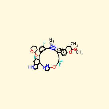 COC(=O)[C@@H](C)Cc1cccc(C2(C)CCC(F)(F)COc3ccn(n3)Cc3c(c(F)cc4[nH]ccc34)C(OC3CCCCO3)c3ccc(F)c(c3)-c3nc2nn3C)c1